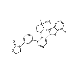 CC1(N)CCN(c2c(-c3cccc(N4CCOC4=O)c3)cncc2-c2nc3c(F)cccc3[nH]2)C1